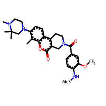 CSNc1ccc(C(=O)N2CCc3c(c(=O)oc4c(C)c(N5CCN(C)C(C)(C)C5)ccc34)C2)cc1OC(F)(F)F